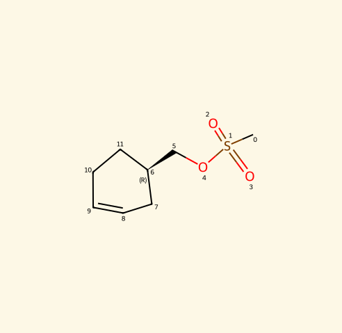 CS(=O)(=O)OC[C@H]1CC=CCC1